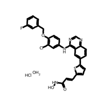 Cl.O.O=C(C=Cc1ccc(-c2ccc3ncnc(Nc4ccc(OCc5cccc(F)c5)c(Cl)c4)c3c2)s1)NO